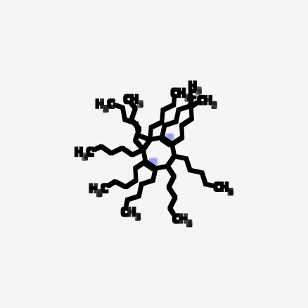 CCCCC/C1=C(\CCCCC)C(CCCCC)(CCCCC)C(CCCCC)(CCCCC)/C(CCCCC)=C(/CCCCC)C(CCCCC)C1CCCCC